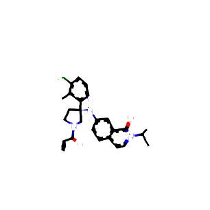 C=CC(=O)N1CC[C@](Nc2ccc3ccn(C(C)C)c(=O)c3c2)(c2cccc(Cl)c2C)C1